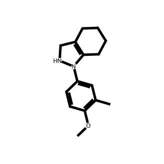 COc1ccc(N2NCC3=C2CCCC3)cc1C